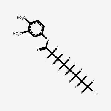 O=C(O)c1ccc(OC(=O)C(F)(F)C(F)(F)C(F)(F)C(F)(F)C(F)(F)C(F)(F)C(F)(F)C(F)(F)F)cc1C(=O)O